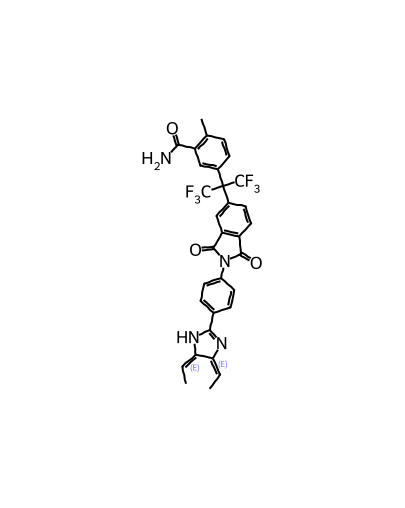 C/C=c1/nc(-c2ccc(N3C(=O)c4ccc(C(c5ccc(C)c(C(N)=O)c5)(C(F)(F)F)C(F)(F)F)cc4C3=O)cc2)[nH]/c1=C/C